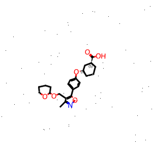 Cc1noc(-c2ccc(O[C@H]3CCC[C@H](C(=O)O)C3)cc2)c1COC1CCCCO1